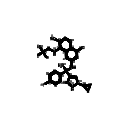 BC(Nc1cc(Cl)c2ncc(C#N)c(NCC(C)(C)CC)c2c1)(C1=CN(C2CC2)NN1)c1ccc(F)cc1